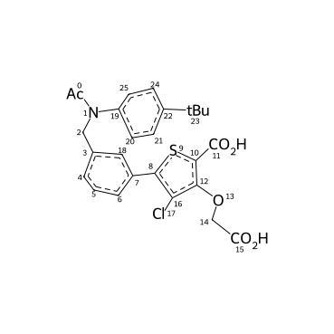 CC(=O)N(Cc1cccc(-c2sc(C(=O)O)c(OCC(=O)O)c2Cl)c1)c1ccc(C(C)(C)C)cc1